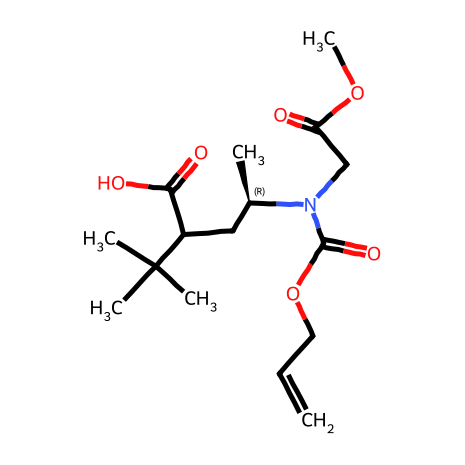 C=CCOC(=O)N(CC(=O)OC)[C@H](C)CC(C(=O)O)C(C)(C)C